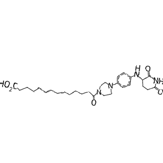 O=C(O)CCCCCCCCCCCCC(=O)N1CCN(c2ccc(NC3CCC(=O)NC3=O)cc2)CC1